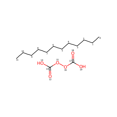 CCCCCCCCCCCC.O=C(O)OOC(=O)O